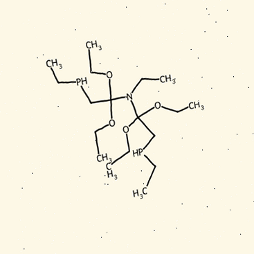 CCOC(CPCC)(OCC)N(CC)C(CPCC)(OCC)OCC